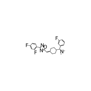 CN(C)C(c1cccc(F)c1)C1CCC(=Cc2nc(-c3ccc(F)cc3F)no2)CC1